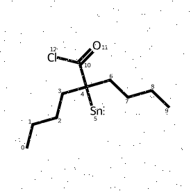 CCCC[C]([Sn])(CCCC)C(=O)Cl